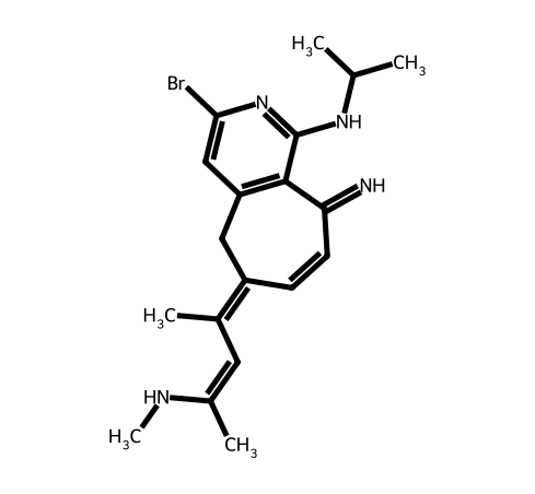 CN/C(C)=C\C(C)=C1/C=CC(=N)c2c(cc(Br)nc2NC(C)C)C1